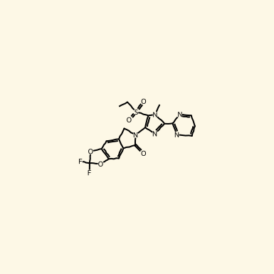 CCS(=O)(=O)c1c(N2Cc3cc4c(cc3C2=O)OC(F)(F)O4)nc(-c2ncccn2)n1C